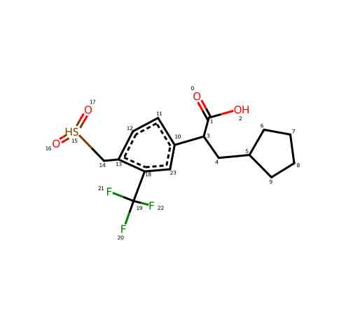 O=C(O)C(CC1CCCC1)c1ccc(C[SH](=O)=O)c(C(F)(F)F)c1